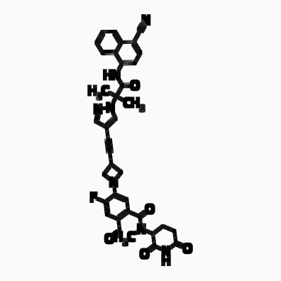 CN(C(=O)c1cc(N2CC(C#Cc3cnn(C(C)(C)C(=O)Nc4ccc(C#N)c5ccccc45)c3)C2)c(F)cc1C=O)C1CCC(=O)NC1=O